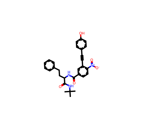 CC(C)(C)NC(=O)C(CCc1ccccc1)NC(=O)c1ccc([N+](=O)[O-])c(C#Cc2ccc(O)cc2)c1